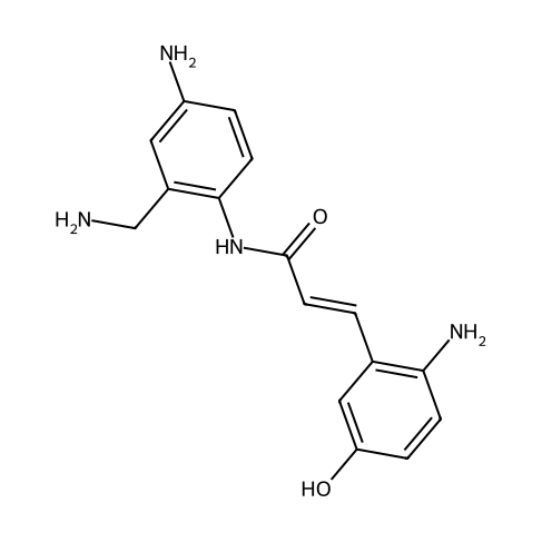 NCc1cc(N)ccc1NC(=O)C=Cc1cc(O)ccc1N